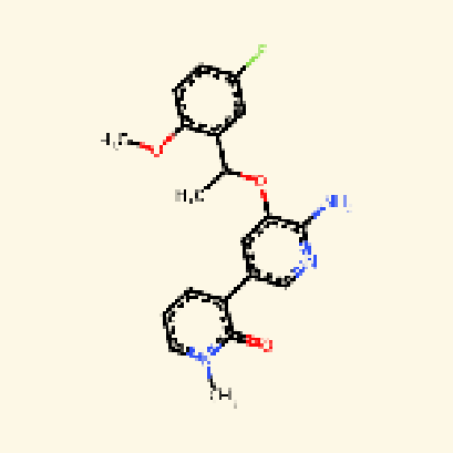 COc1ccc(F)cc1C(C)Oc1cc(-c2cccn(C)c2=O)cnc1N